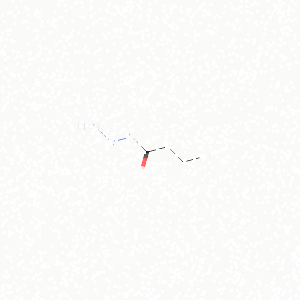 CCCC(=O)NNN